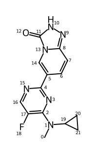 CN(c1nc(-c2ccc3n[nH]c(=O)n3c2)ncc1F)C1CC1